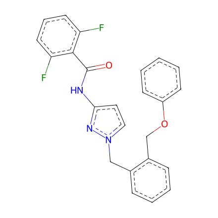 O=C(Nc1ccn(Cc2ccccc2COc2ccccc2)n1)c1c(F)cccc1F